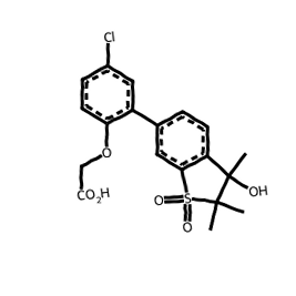 CC1(O)c2ccc(-c3cc(Cl)ccc3OCC(=O)O)cc2S(=O)(=O)C1(C)C